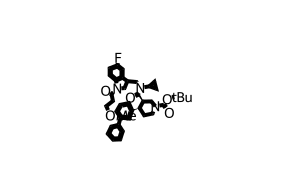 COCCC(=O)N1CC(CN(C(=O)[C@H]2CN(C(=O)OC(C)(C)C)CC[C@@H]2c2cccc(-c3ccccc3)c2)C2CC2)c2cc(F)ccc21